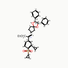 CCOC(=O)/C(=C\[C@@H]1CCC2(C1)O[C@@H](c1ccccc1)[C@H](c1ccccc1)O2)c1ccc(S(=O)(=O)C2CC2)c(C2CC2)c1